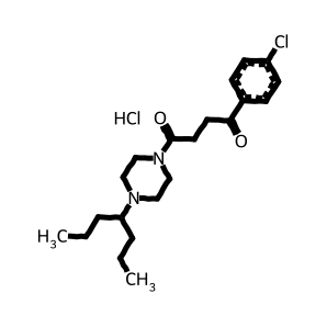 CCCC(CCC)N1CCN(C(=O)CCC(=O)c2ccc(Cl)cc2)CC1.Cl